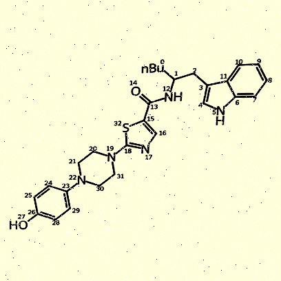 CCCCC(Cc1c[nH]c2ccccc12)NC(=O)c1cnc(N2CCN(c3ccc(O)cc3)CC2)s1